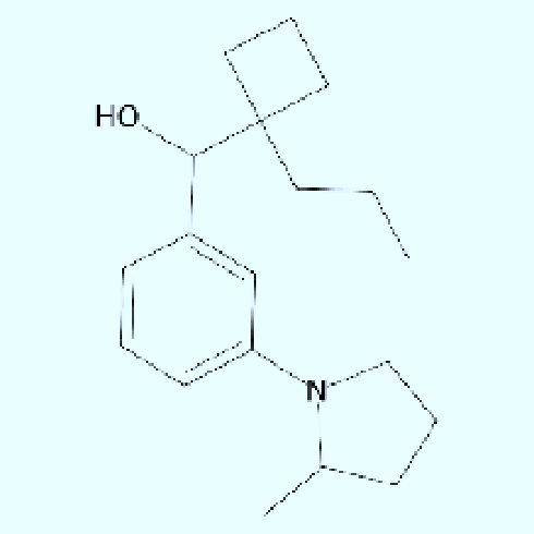 CCCC1(C(O)c2cccc(N3CCCC3C)c2)CCC1